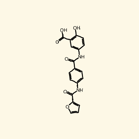 O=C(Nc1ccc(O)c(C(=O)O)c1)c1ccc(NC(=O)c2ccco2)cc1